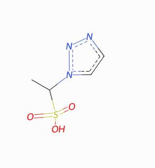 CC(n1ccnn1)S(=O)(=O)O